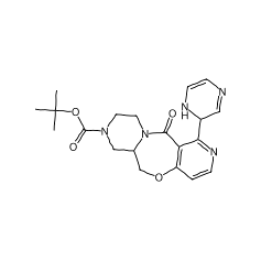 CC(C)(C)OC(=O)N1CCN2C(=O)c3c(ccnc3C3C=NC=CN3)OCC2C1